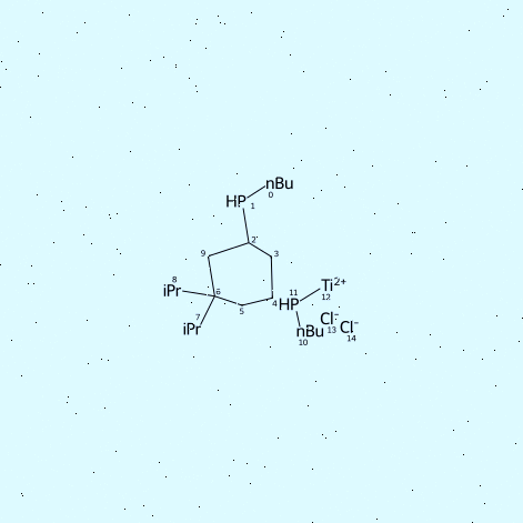 CCCCPC1CCCC(C(C)C)(C(C)C)C1.CCCC[PH][Ti+2].[Cl-].[Cl-]